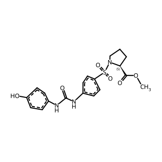 COC(=O)[C@@H]1CCCN1S(=O)(=O)c1ccc(NC(=O)Nc2ccc(O)cc2)cc1